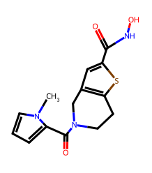 Cn1cccc1C(=O)N1CCc2sc(C(=O)NO)cc2C1